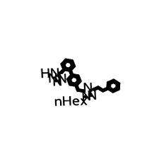 CCCCCCn1nc(CCc2ccccc2)nc1Cc1ccc(-c2ccccc2-c2nnn[nH]2)cc1